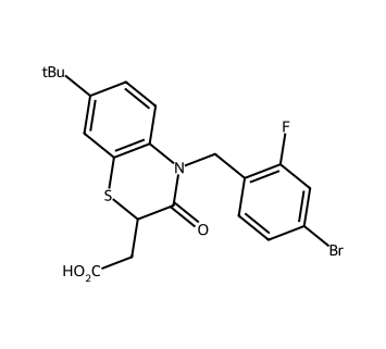 CC(C)(C)c1ccc2c(c1)SC(CC(=O)O)C(=O)N2Cc1ccc(Br)cc1F